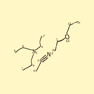 CC#N.CCN(CC)CC.CCOCC